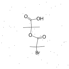 CC(C)(Br)C(=O)OC(C)(C)C(=O)O